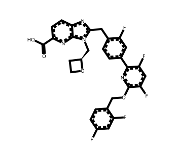 O=C(O)c1ccc2nc(Cc3ccc(-c4nc(OCc5ccc(F)cc5F)c(F)cc4F)cc3F)n(C[C@@H]3CCO3)c2n1